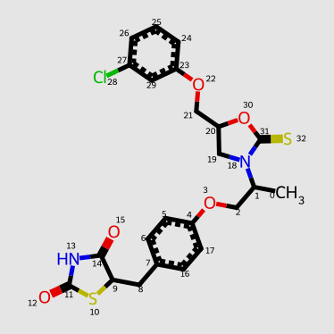 CC(COc1ccc(CC2SC(=O)NC2=O)cc1)N1CC(COc2cccc(Cl)c2)OC1=S